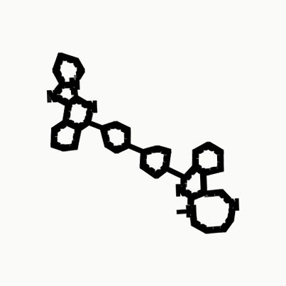 Cn1ccccncc2c3ccccc3c(-c3ccc(-c4ccc(-c5nc6c(nc7ccccn76)c6ccccc56)cc4)cc3)nc21